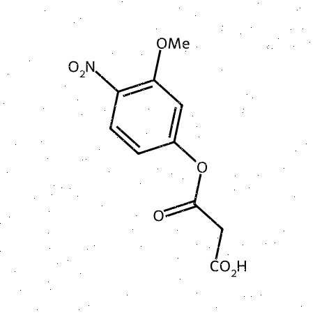 COc1cc(OC(=O)CC(=O)O)ccc1[N+](=O)[O-]